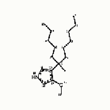 CCCCCCC(C)(CCCCC)c1c[nH]cc1OC